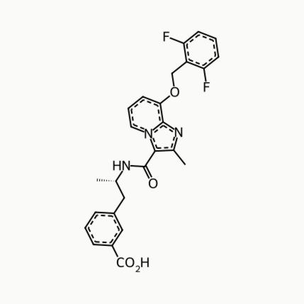 Cc1nc2c(OCc3c(F)cccc3F)cccn2c1C(=O)N[C@@H](C)Cc1cccc(C(=O)O)c1